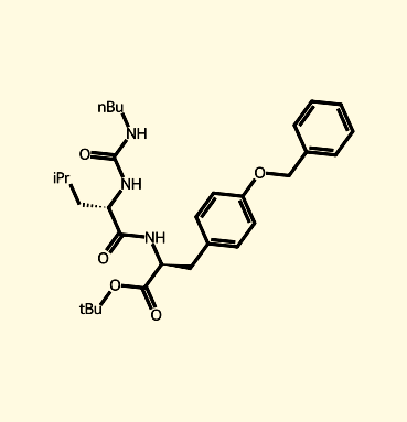 CCCCNC(=O)N[C@@H](CC(C)C)C(=O)N[C@@H](Cc1ccc(OCc2ccccc2)cc1)C(=O)OC(C)(C)C